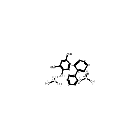 CC(C)(C)c1ccc(O)c(C(C)(C)C)c1.OP(O)O.OP(O)O.c1ccc(-c2ccccc2)cc1